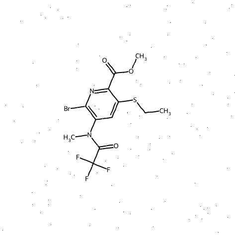 CCSc1cc(N(C)C(=O)C(F)(F)F)c(Br)nc1C(=O)OC